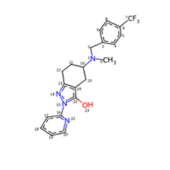 CN(Cc1ccc(C(F)(F)F)cc1)C1CCc2nn(-c3ccccn3)c(O)c2C1